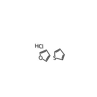 Cl.c1ccoc1.c1ccsc1